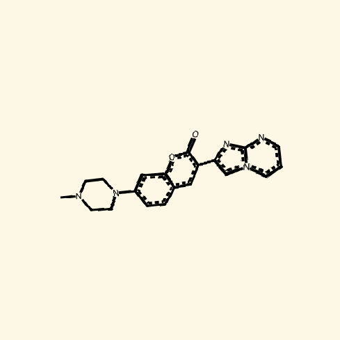 CN1CCN(c2ccc3cc(-c4cn5cccnc5n4)c(=O)oc3c2)CC1